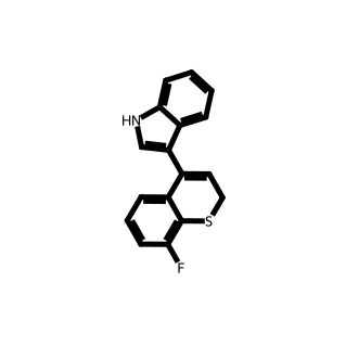 Fc1cccc2c1SCC=C2c1c[nH]c2ccccc12